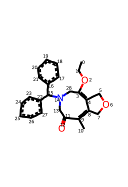 CCOC1=C2COCC2=C(C)C(=O)CN(C(c2ccccc2)c2ccccc2)C1